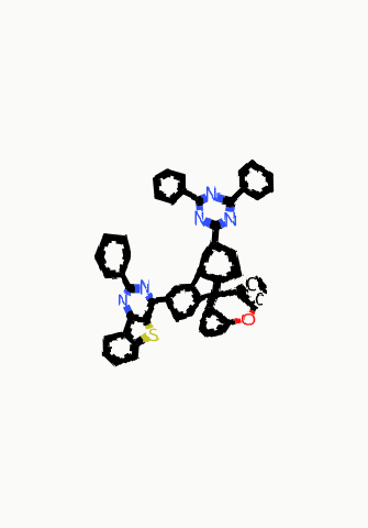 c1ccc(-c2nc(-c3ccccc3)nc(-c3ccc4c(c3)-c3cc(-c5nc(-c6ccccc6)nc6c5sc5ccccc56)ccc3C43c4ccccc4Oc4ccccc43)n2)cc1